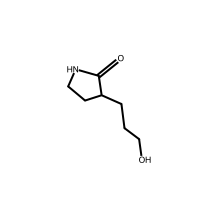 O=C1NCCC1CCCO